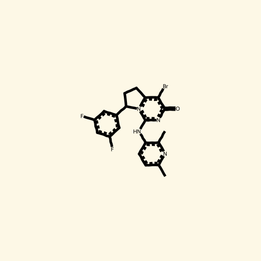 Cc1ccc(Nc2nc(=O)c(Br)c3n2C(c2cc(F)cc(F)c2)CC3)c(C)n1